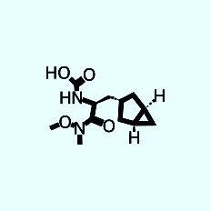 CON(C)C(=O)[C@H](C[C@H]1C[C@@H]2C[C@@H]2C1)NC(=O)O